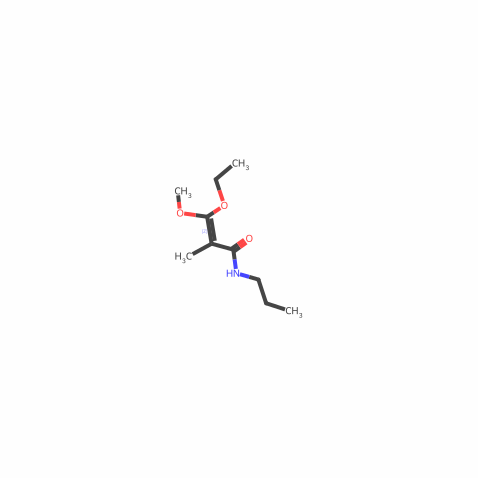 CCCNC(=O)/C(C)=C(/OC)OCC